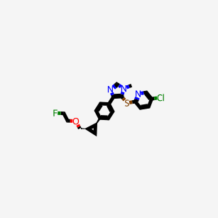 Cn1cnc(-c2ccc([C@H]3C[C@@H]3COCCF)cc2)c1Sc1ccc(Cl)cn1